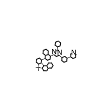 CC1(C)c2cccc(-c3ccc(-c4cc(-c5cccc(-c6cccnc6)c5)nc(-c5ccccc5)n4)c4ccccc34)c2-c2c1ccc1ccccc21